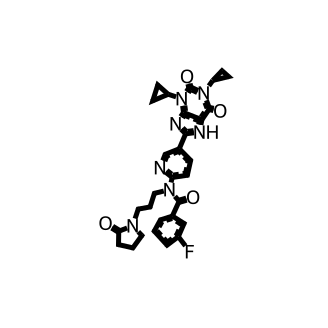 O=C1CCCN1CCCN(C(=O)c1cccc(F)c1)c1ccc(-c2nc3c([nH]2)c(=O)n(C2CC2)c(=O)n3C2CC2)cn1